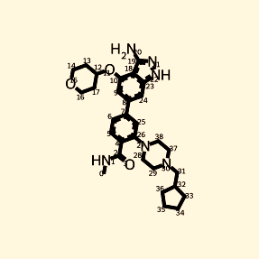 CNC(=O)c1ccc(-c2cc(OC3CCOCC3)c3c(N)n[nH]c3c2)cc1N1CCN(CC2CCCC2)CC1